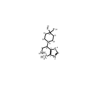 Cc1ncsc1C(CN)N1CCC(F)(F)CC1